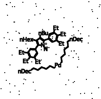 CCCCCCC1=C(c2cc(CC)c(CC)c(CC)c2)[N+](=[N-])C(c2cc(CC)c(CC)c(CC)c2)=C1CCCC.CCCCCCCCCCCCCCC[CH2][Pd][CH2]CCCCCCCCCCCCCCC